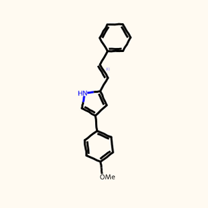 COc1ccc(-c2c[nH]c(/C=C/c3ccccc3)c2)cc1